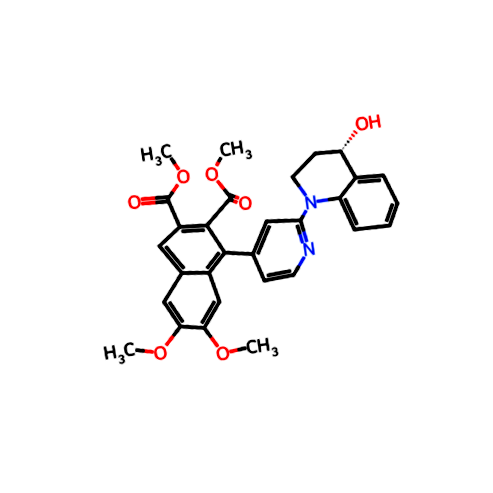 COC(=O)c1cc2cc(OC)c(OC)cc2c(-c2ccnc(N3CC[C@H](O)c4ccccc43)c2)c1C(=O)OC